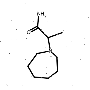 CC(C(N)=O)N1CCCCCC1